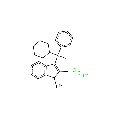 CC1=C([Si](C)(c2ccccc2)C2CCCCC2)c2ccccc2[CH]1[Ti+3].[Cl-].[Cl-].[Cl-]